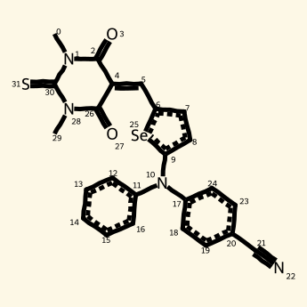 CN1C(=O)C(=Cc2ccc(N(c3ccccc3)c3ccc(C#N)cc3)[se]2)C(=O)N(C)C1=S